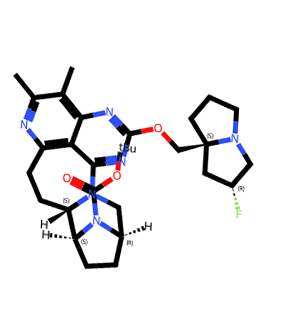 Cc1nc2c3c(nc(OC[C@@]45CCCN4C[C@H](F)C5)nc3c1C)N1C[C@H]3CC[C@@H]([C@@H]1CC2)N3C(=O)OC(C)(C)C